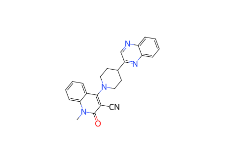 Cn1c(=O)c(C#N)c(N2CCC(c3cnc4ccccc4n3)CC2)c2ccccc21